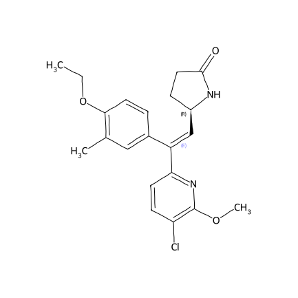 CCOc1ccc(/C(=C\[C@H]2CCC(=O)N2)c2ccc(Cl)c(OC)n2)cc1C